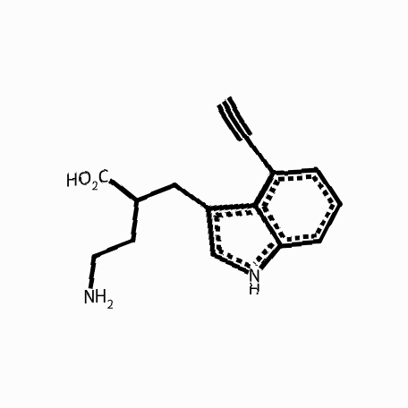 C#Cc1cccc2[nH]cc(CC(CCN)C(=O)O)c12